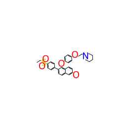 CCS(=O)(=O)c1ccc(-c2ccc3cc(OC)ccc3c2Oc2ccc(OCCN3CCCCC3)cc2)cc1